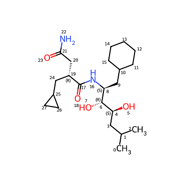 CC(C)C[C@H](O)[C@H](O)[C@H](CC1CCCCC1)NC(=O)[C@@H](CC(N)=O)CC1CC1